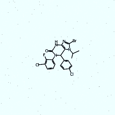 CC(C)n1c(Br)nc2c1C(c1ccc(Cl)cc1)N(c1cccc(Cl)c1F)C(=O)N2